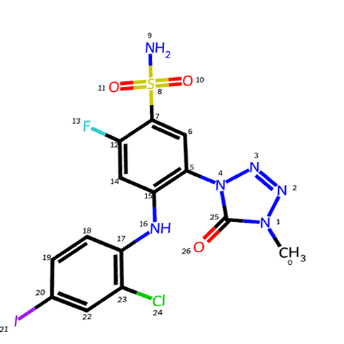 Cn1nnn(-c2cc(S(N)(=O)=O)c(F)cc2Nc2ccc(I)cc2Cl)c1=O